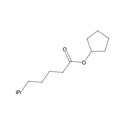 CC(C)CCCCC(=O)OC1CCCC1